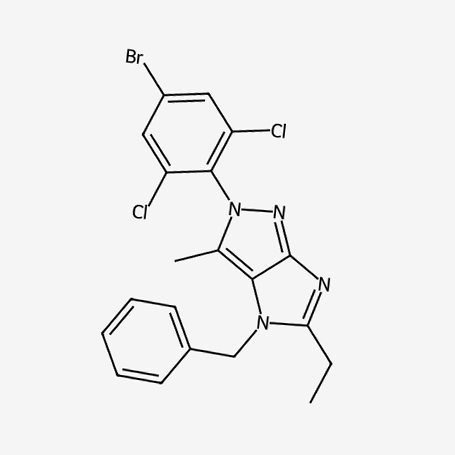 CCc1nc2nn(-c3c(Cl)cc(Br)cc3Cl)c(C)c2n1Cc1ccccc1